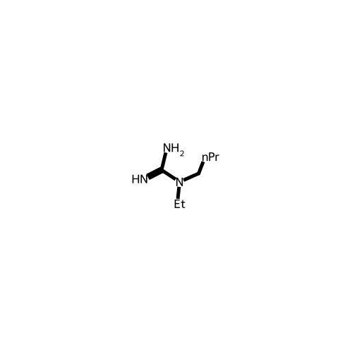 CCCCN(CC)C(=N)N